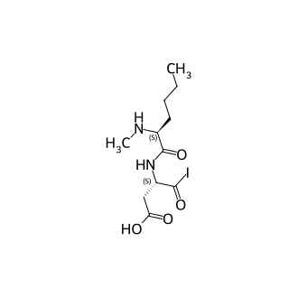 CCCC[C@H](NC)C(=O)N[C@@H](CC(=O)O)C(=O)I